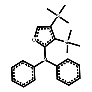 C[Si](C)(C)c1coc(N(c2ccccc2)c2ccccc2)c1[Si](C)(C)C